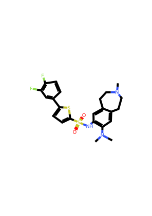 CN1CCc2cc(NS(=O)(=O)c3ccc(-c4ccc(F)c(F)c4)s3)c(N(C)C)cc2CC1